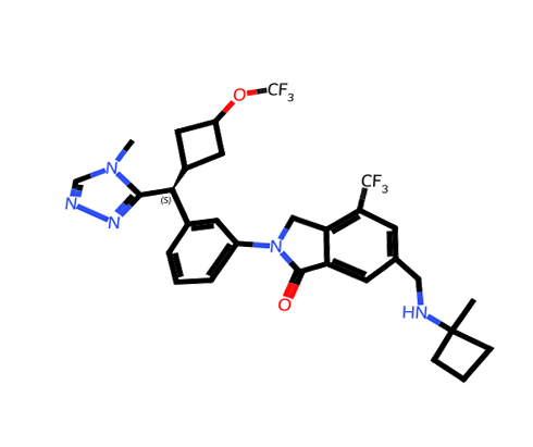 Cn1cnnc1[C@H](c1cccc(N2Cc3c(cc(CNC4(C)CCC4)cc3C(F)(F)F)C2=O)c1)C1CC(OC(F)(F)F)C1